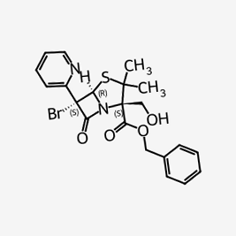 CC1(C)S[C@H]2N(C(=O)[C@@]2(Br)c2ccccn2)[C@@]1(CO)C(=O)OCc1ccccc1